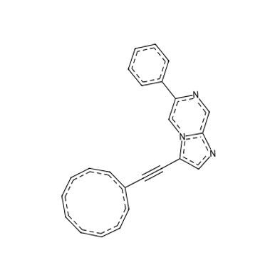 C(#Cc1cnc2cnc(-c3ccccc3)cn12)c1ccccccccc1